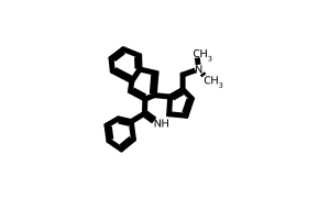 CN(C)CC1=C(c2cc3ccccc3cc2C(=N)c2ccccc2)CC=C1